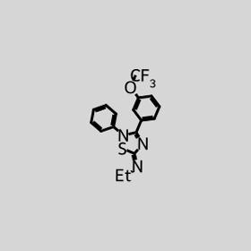 CCN=c1nc(-c2cccc(OC(F)(F)F)c2)n(-c2ccccc2)s1